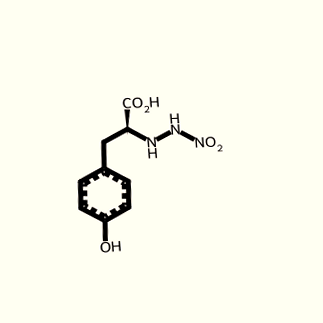 O=C(O)[C@H](Cc1ccc(O)cc1)NN[N+](=O)[O-]